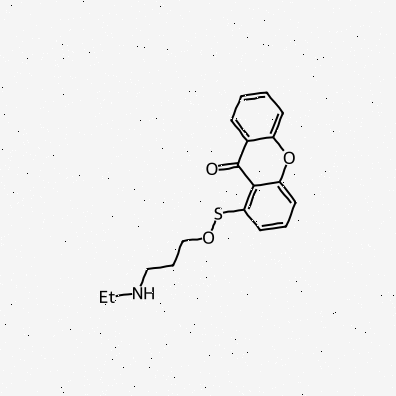 CCNCCCOSc1cccc2oc3ccccc3c(=O)c12